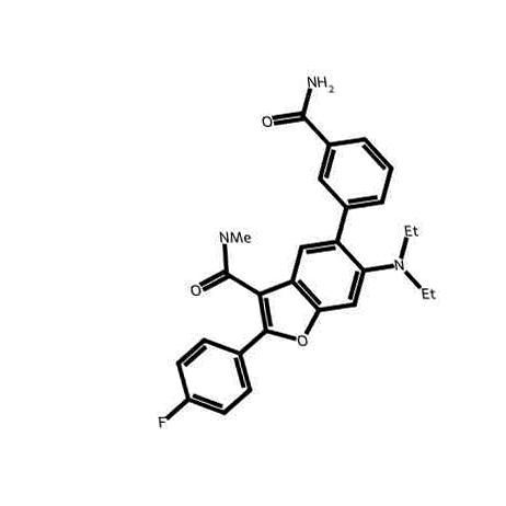 CCN(CC)c1cc2oc(-c3ccc(F)cc3)c(C(=O)NC)c2cc1-c1cccc(C(N)=O)c1